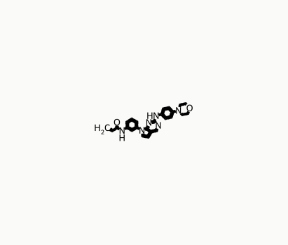 C=CC(=O)Nc1cccc(-n2ccc3cnc(Nc4ccc(N5CCOCC5)cc4)nc32)c1